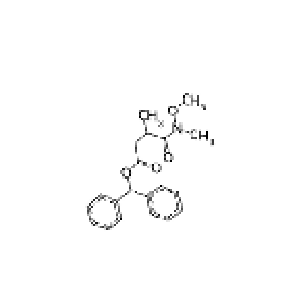 CON(C)C(=O)C(C)CC(=O)OC(c1ccccc1)c1ccccc1